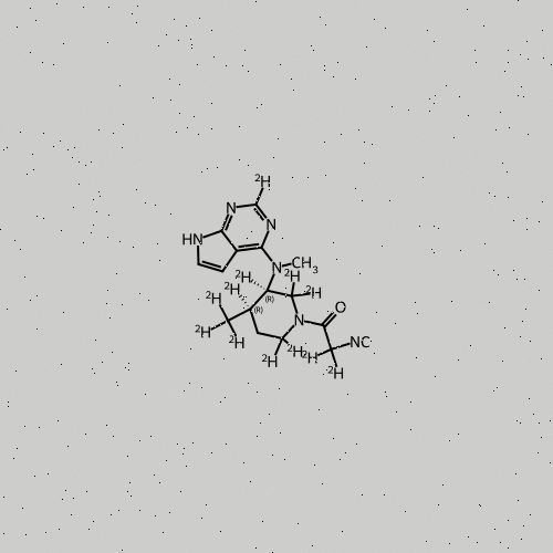 [2H]c1nc(N(C)[C@@]2([2H])C([2H])([2H])N(C(=O)C([2H])([2H])[N+]#[C-])C([2H])([2H])C[C@@]2([2H])C([2H])([2H])[2H])c2cc[nH]c2n1